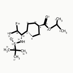 CC(C)OC(=O)[C@H]1CC[C@H]([C@H](N[S@@+]([O-])C(C)(C)C)C(F)F)CC1